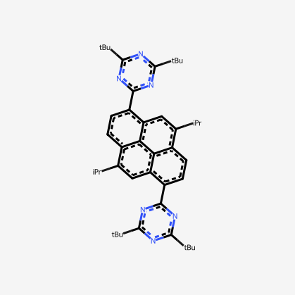 CC(C)c1cc2c(-c3nc(C(C)(C)C)nc(C(C)(C)C)n3)ccc3c(C(C)C)cc4c(-c5nc(C(C)(C)C)nc(C(C)(C)C)n5)ccc1c4c23